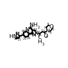 CC(CC(=O)N1CCOCC1)n1cc2c(N)nc3cc(-c4cc[nH]n4)ccc3c2n1